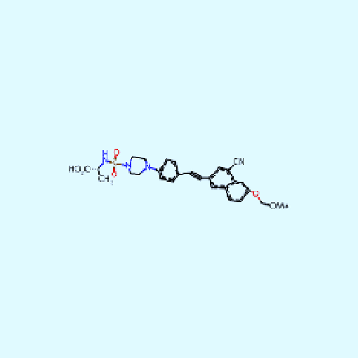 COCOc1ccc2cc(C#Cc3ccc(N4CCN(S(=O)(=O)N[C@H](C)C(=O)O)CC4)cc3)cc(C#N)c2c1